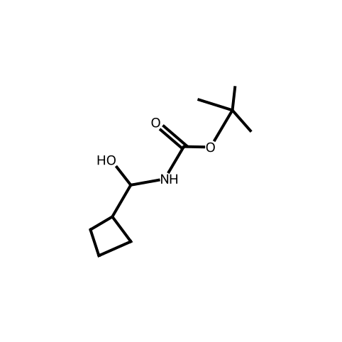 CC(C)(C)OC(=O)NC(O)C1CCC1